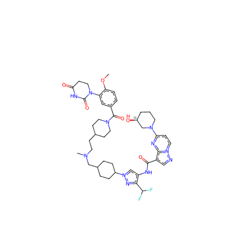 COc1ccc(C(=O)N2CCC(CCN(C)CC3CCC(n4cc(NC(=O)c5cnn6ccc(N7CCC[C@H](O)C7)nc56)c(C(F)F)n4)CC3)CC2)cc1N1CCC(=O)NC1=O